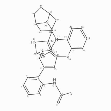 CC(=O)Nc1ccccc1-c1ccc2c(c1)Sc1ccccc1N2C1CC2CCC(C1)N2Cc1ncc[nH]1